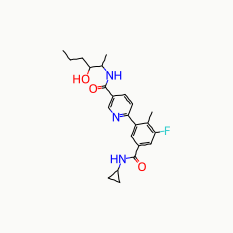 CCCC(O)C(C)NC(=O)c1ccc(-c2cc(C(=O)NC3CC3)cc(F)c2C)nc1